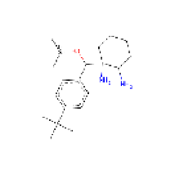 C[SiH](C)OC(c1ccc(C(C)(C)C)cc1)C1(N)CCCCC1N